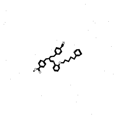 COC(=O)c1ccc(CC(C=Cc2ccccc2OCCCCCc2ccccc2)CCc2ccc(C#N)cc2)cc1